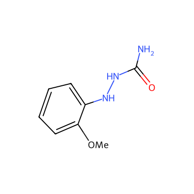 COc1ccccc1NNC(N)=O